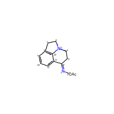 CC(=O)O/N=C1\CCN2CCc3cccc1c32